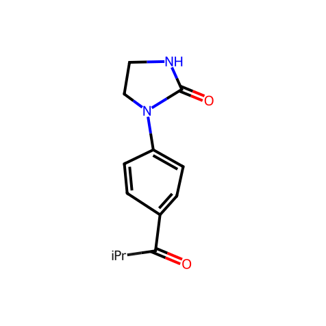 CC(C)C(=O)c1ccc(N2CCNC2=O)cc1